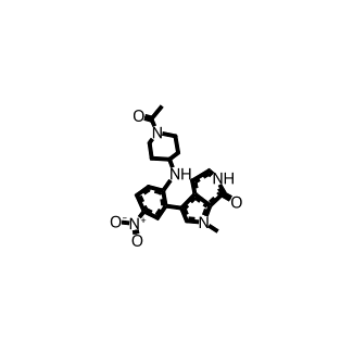 CC(=O)N1CCC(Nc2ccc([N+](=O)[O-])cc2-c2cn(C)c3c(=O)[nH]ccc23)CC1